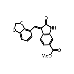 COC(=O)c1ccc2c(c1)NC(=O)/C2=C/c1cccc2c1OCO2